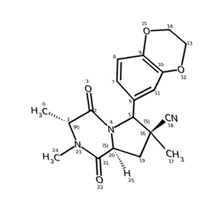 C[C@@H]1C(=O)N2C(c3ccc4c(c3)OCCO4)[C@@](C)(C#N)C[C@H]2C(=O)N1C